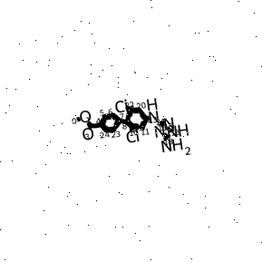 COC(=O)c1ccc(-c2c(Cl)cc(Nc3n[nH]c(N)n3)cc2Cl)cc1